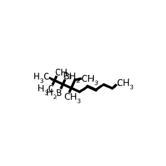 BC(B)(C(C)(C)C)C(C)(CC)CCCCCC